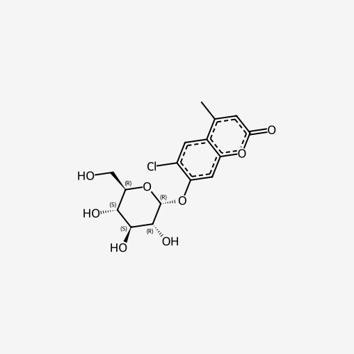 Cc1cc(=O)oc2cc(O[C@H]3O[C@H](CO)[C@@H](O)[C@H](O)[C@H]3O)c(Cl)cc12